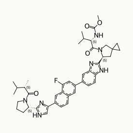 COC(=O)N[C@H](C(=O)N1CC2(CC2)C[C@H]1c1nc2cc(-c3cc(F)c4cc(-c5c[nH]c([C@@H]6CCCN6C(=O)[C@@H](C)C(C)C)n5)ccc4c3)ccc2[nH]1)C(C)C